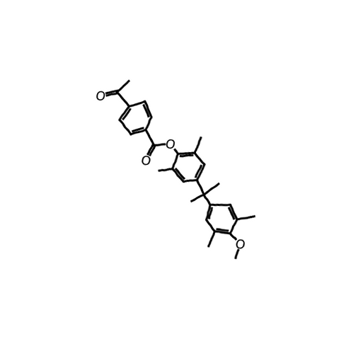 COc1c(C)cc(C(C)(C)c2cc(C)c(OC(=O)c3ccc(C(C)=O)cc3)c(C)c2)cc1C